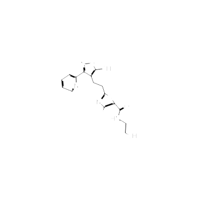 CCCNC(=O)c1sc(CCc2c(-c3ccccn3)noc2C)nc1C